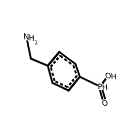 NCc1ccc([PH](=O)O)cc1